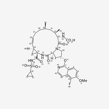 COc1ccc2c(O[C@@H]3C[C@H]4C(=O)N[C@]5(C(=O)NS(=O)(=O)C6CC6)C[C@H]5/C=C\CC[C@@H](C)C[C@@H](C)[C@H](NC(=O)O)C(=O)N4C3)nccc2c1F